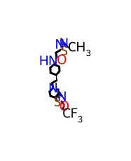 Cc1nnc(CC(=O)N[C@H]2CC[C@H](CCN3CCc4sc(OCC(F)(F)F)nc4C3)CC2)s1